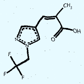 CC(=Cc1cnn(CC(F)(F)F)c1)C(=O)O